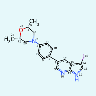 C[C@@H]1CN(c2ccc(-c3cnc4[nH]cc(I)c4c3)cc2)C[C@H](C)O1